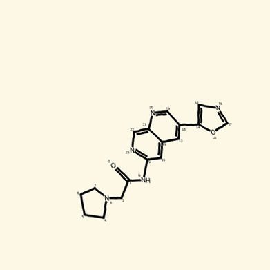 O=C(CN1CCCC1)Nc1cc2cc(-c3cnco3)cnc2cn1